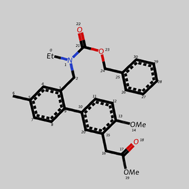 CCN(Cc1cc(C)ccc1-c1ccc(OC)c(CC(=O)OC)c1)C(=O)OCc1ccccc1